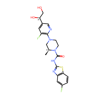 C[C@H]1CN(c2ncc([C@@H](O)CO)cc2F)CCN1C(=O)Nc1nc2cc(F)ccc2s1